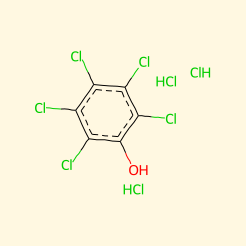 Cl.Cl.Cl.Oc1c(Cl)c(Cl)c(Cl)c(Cl)c1Cl